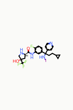 O=C(Nc1cc(C(CCC2CC2)(NI)c2ccncc2)ccc1F)[C@H]1C[C@](O)(C(F)(F)F)CN1